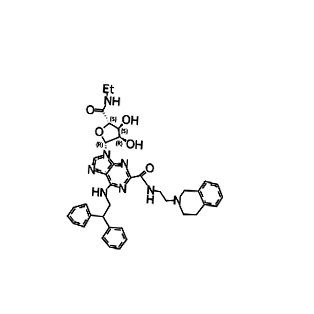 CCNC(=O)[C@H]1O[C@@H](n2cnc3c(NCC(c4ccccc4)c4ccccc4)nc(C(=O)NCCN4CCc5ccccc5C4)nc32)[C@H](O)[C@@H]1O